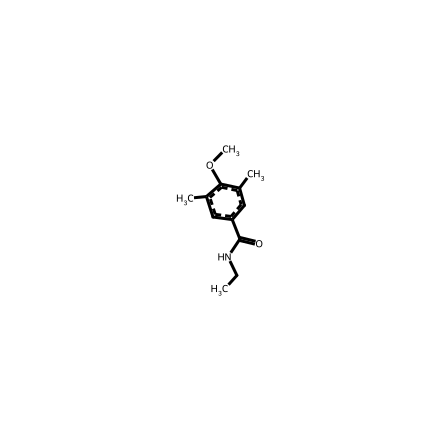 CCNC(=O)c1cc(C)c(OC)c(C)c1